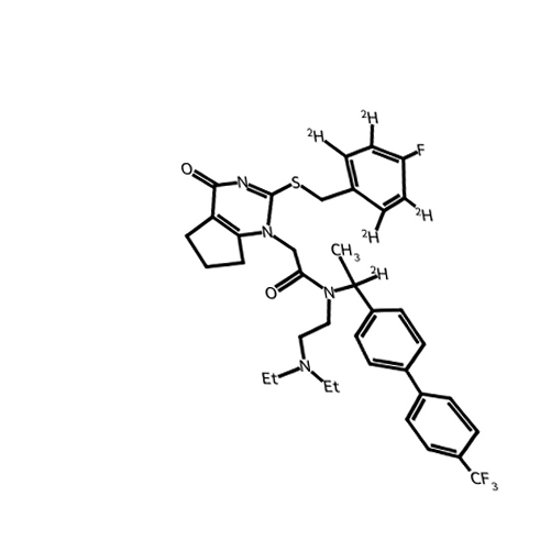 [2H]c1c([2H])c(CSc2nc(=O)c3c(n2CC(=O)N(CCN(CC)CC)C([2H])(C)c2ccc(-c4ccc(C(F)(F)F)cc4)cc2)CCC3)c([2H])c([2H])c1F